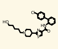 O=C(Nc1ccccc1-c1ccc(Cl)cc1)c1csc(C2CCN(CCCCCO)CC2)n1